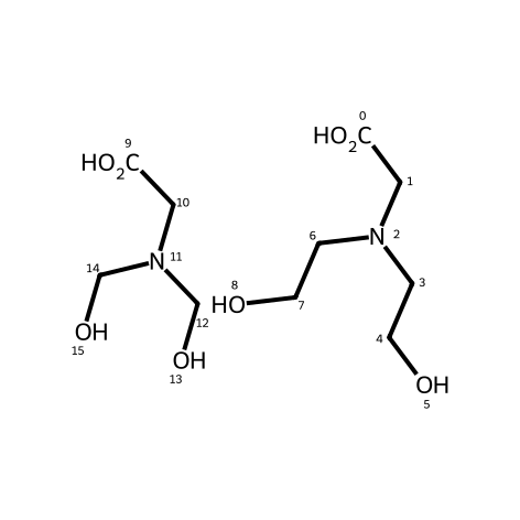 O=C(O)CN(CCO)CCO.O=C(O)CN(CO)CO